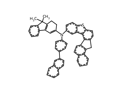 CC1(C)C2=C(C=C(N(c3ccc(-c4ccc5ccccc5c4)cc3)c3ccc4sc5ccc6c(c5c4c3)-c3ccc4ccccc4c3C6)CC2)c2ccccc21